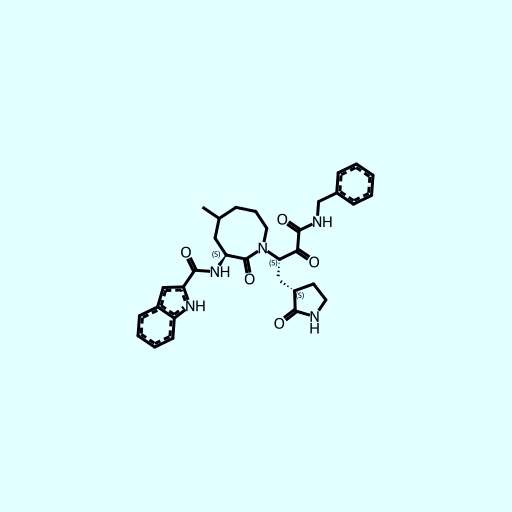 CC1CCCN([C@@H](C[C@@H]2CCNC2=O)C(=O)C(=O)NCc2ccccc2)C(=O)[C@@H](NC(=O)c2cc3ccccc3[nH]2)C1